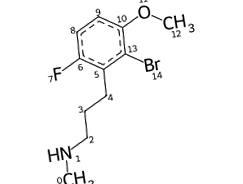 CNCCCc1c(F)ccc(OC)c1Br